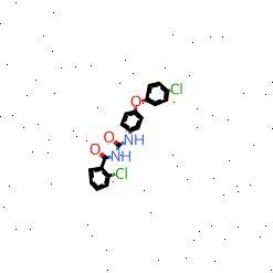 O=C(NC(=O)c1ccccc1Cl)Nc1ccc(Oc2ccc(Cl)cc2)cc1